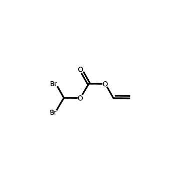 C=COC(=O)OC(Br)Br